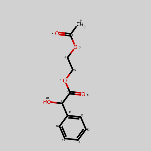 CC(=O)OCCOC(=O)C(O)c1ccccc1